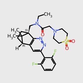 CCN(C[C@@]12CC[C@@H](c3cc(-c4c(F)cccc4F)nnc31)C2(C)C)C(=O)CN1CCS(=O)(=O)CC1